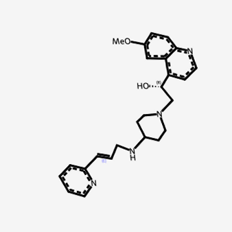 COc1ccc2nccc([C@@H](O)CN3CCC(NC/C=C/c4ccccn4)CC3)c2c1